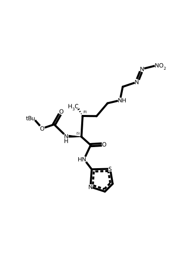 C[C@H](CCNCN=N[N+](=O)[O-])[C@H](NC(=O)OC(C)(C)C)C(=O)Nc1nccs1